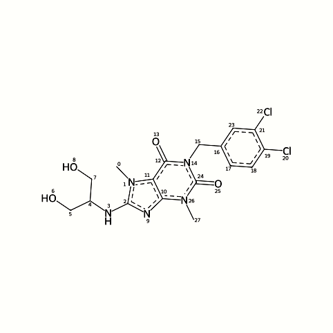 Cn1c(NC(CO)CO)nc2c1c(=O)n(Cc1ccc(Cl)c(Cl)c1)c(=O)n2C